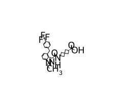 CCn1nc(C(=O)N[C@H]2CC3(C2)C[C@H](C(=O)O)C3)c2c(Cc3ccc(C(F)(F)F)cc3)cccc21